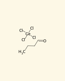 CCCC=O.[Cl][Ge]([Cl])([Cl])[Cl]